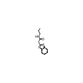 CCCNC(=O)Sc1nc2ccccc2s1